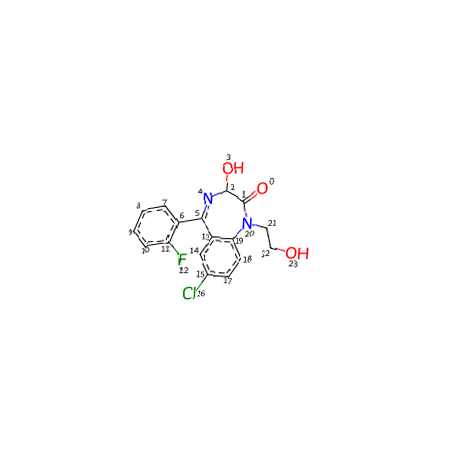 O=C1C(O)N=C(c2ccccc2F)c2cc(Cl)ccc2N1CCO